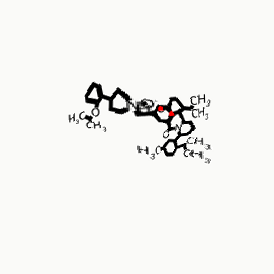 CC1CCC(C(C)C)C(C2CCCC(C3CC(C)CCC3C(C)C)N2C(=O)c2cccc(C[N+]3([O-])CCC(c4ccccc4OC(C)C)CC3)c2)C1